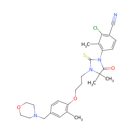 Cc1cc(CN2CCOCC2)ccc1OCCCN1C(=S)N(c2ccc(C#N)c(Cl)c2C)C(=O)C1(C)C